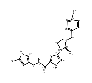 Cc1cc(CNC(=O)c2cc(N3CCN(Cc4ccc(F)cc4)C3=O)n[nH]2)no1